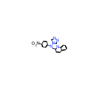 O=[N+]([O-])c1ccc(N(Cc2ccc3ccccc3n2)n2cnnc2)cc1